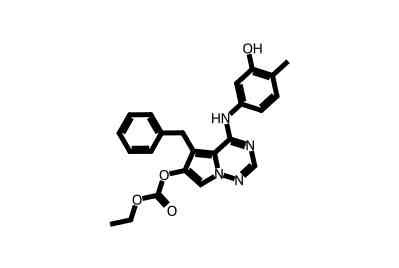 CCOC(=O)Oc1cn2ncnc(Nc3ccc(C)c(O)c3)c2c1Cc1ccccc1